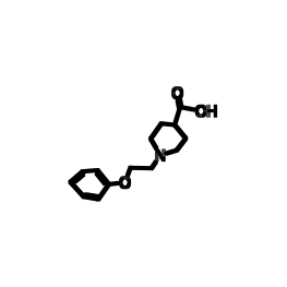 O=C(O)C1CCN(CCOc2ccccc2)CC1